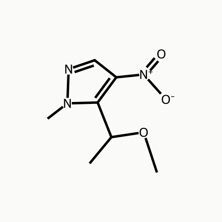 COC(C)c1c([N+](=O)[O-])cnn1C